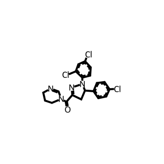 O=C(C1=NN(c2ccc(Cl)cc2Cl)C(c2ccc(Cl)cc2)C1)N1C=NCCC1